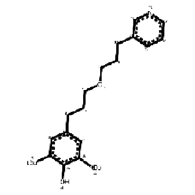 CC(C)(C)c1cc(CCCOCCCc2cccnc2)cc(C(C)(C)C)c1O